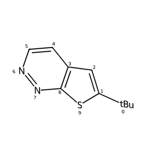 CC(C)(C)c1cc2ccnnc2s1